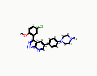 COc1ccc(Cl)cc1-c1n[nH]c2ncc(-c3ccc(N4CCN(C)CC4)cc3)cc12